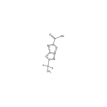 CC(F)(F)c1nn2cc(C(=O)O)nc2s1